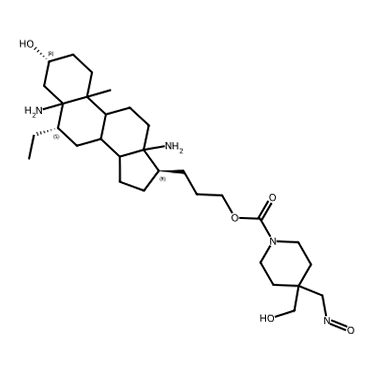 CC[C@H]1CC2C3CC[C@H](CCCOC(=O)N4CCC(CO)(CN=O)CC4)C3(N)CCC2C2(C)CC[C@@H](O)CC12N